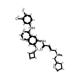 CN(CC=CC(=O)Nc1cc2c(Nc3ccc(F)c(Cl)c3)ncnc2cc1OC1CCC1)CC1CCCO1